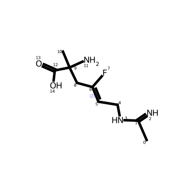 CC(=N)NC/C=C(\F)CC(C)(N)C(=O)O